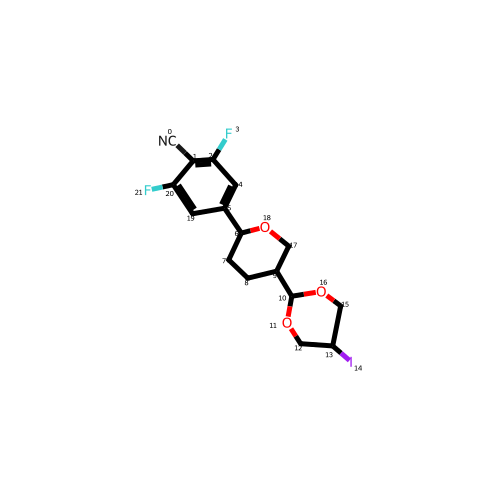 N#Cc1c(F)cc(C2CCC(C3OCC(I)CO3)CO2)cc1F